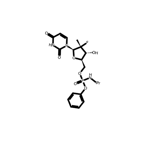 CC(C)NP(=O)(OC[C@H]1O[C@@H](n2ccc(=O)[nH]c2=O)[C@](C)(F)[C@@H]1O)Oc1ccccc1